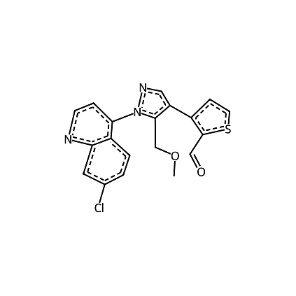 COCc1c(-c2ccsc2C=O)cnn1-c1ccnc2cc(Cl)ccc12